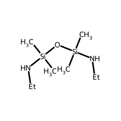 CCN[Si](C)(C)O[Si](C)(C)NCC